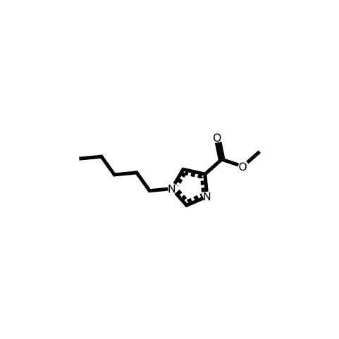 CCCCCn1cnc(C(=O)OC)c1